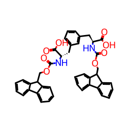 O=C(N[C@@H](Cc1cccc(C[C@H](NC(=O)OCC2c3ccccc3-c3ccccc32)C(=O)O)c1)C(=O)O)OCC1c2ccccc2-c2ccccc21